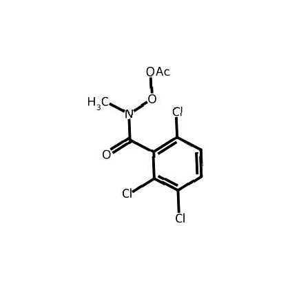 CC(=O)OON(C)C(=O)c1c(Cl)ccc(Cl)c1Cl